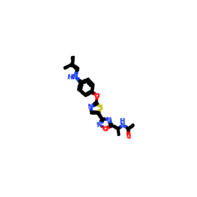 CC(=O)NC(C)c1nc(-c2cnc(Oc3ccc(NCC(C)C)cc3)s2)no1